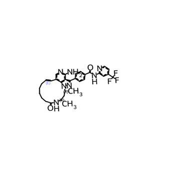 C[C@@H]1C[C@@H](C)n2nc(-c3ccc(C(=O)Nc4cc(C(F)(F)F)ccn4)cc3)c3c(N)ncc(c32)/C=C/CCCCCC(=O)N1